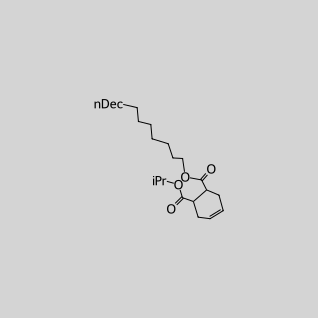 CCCCCCCCCCCCCCCCCOC(=O)C1CC=CCC1C(=O)OC(C)C